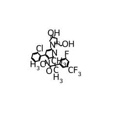 CN(C(=O)C(C)(C)c1cc(F)cc(C(F)(F)F)c1)c1cnc(N2C[C@H](O)C[C@H]2CO)cc1-c1ccccc1Cl